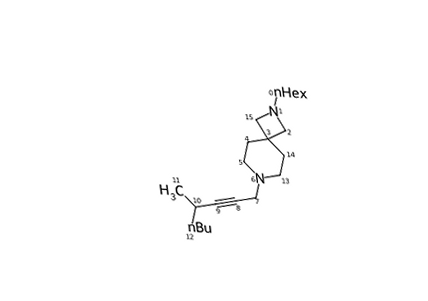 CCCCCCN1CC2(CCN(CC#CC(C)CCCC)CC2)C1